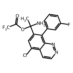 CC(N)(OC(=O)C(F)(F)F)c1cc(Cl)c2ccnnc2c1-c1cccc(F)c1